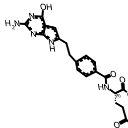 Nc1nc(O)c2cc(CCc3ccc(C(=O)N[C@@H](CCC(=O)O)C(=O)O)cc3)[nH]c2n1